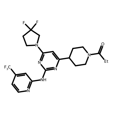 CCC(=O)N1CCC(c2cc(N3CCC(F)(F)C3)nc(Nc3cc(C(F)(F)F)ccn3)n2)CC1